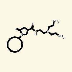 NCCN(CCN)CCNC(=O)C1CC(=O)N(C2CCCCCCCCC2)C1